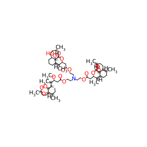 COC(CC(=O)OCCN(CCOC(=O)CC1O[C@@H]2O[C@@H](C)CCC3CCC[C@@H]([C@H]1C)[C@]32OO)CCOC(=O)CC1O[C@@H]2O[C@@]3(C)CC[C@H]4[C@H](C)CC[C@@H]([C@H]1C)[C@@]24OO3)[C@H](C)[C@@H]1CC[C@@H](C)[C@@H]2CC[C@]3(C)OC[C@@]21OO3